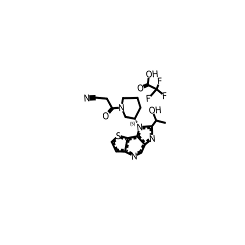 CC(O)c1nc2cnc3ccsc3c2n1[C@H]1CCCN(C(=O)CC#N)C1.O=C(O)C(F)(F)F